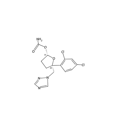 NC(=O)O[C@H]1CC[C@](Cn2cncn2)(c2ccc(Cl)cc2Cl)O1